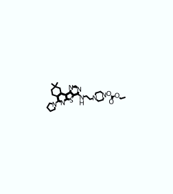 CCOC(=O)ON1CCN(CCNc2ncnc3c2sc2nc(N4CCCC4)c4c(c23)CC(C)(C)CC4)CC1